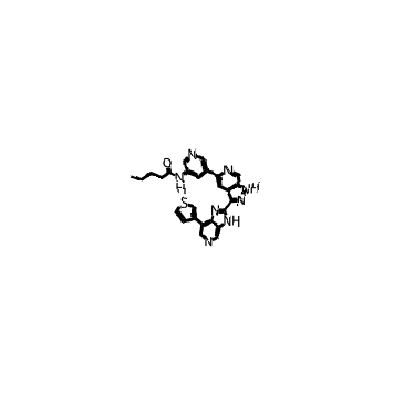 CCCCC(=O)Nc1cncc(-c2cc3c(-c4nc5c(-c6ccsc6)cncc5[nH]4)n[nH]c3cn2)c1